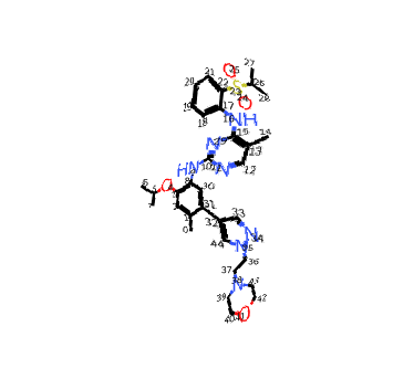 Cc1cc(OC(C)C)c(Nc2ncc(C)c(Nc3ccccc3S(=O)(=O)C(C)C)n2)cc1-c1cnn(CCN2CCOCC2)c1